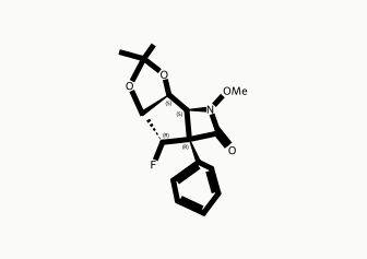 CON1C(=O)[C@](c2ccccc2)([C@@H](C)F)[C@H]1[C@H]1COC(C)(C)O1